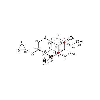 CCOC12CCC(=O)C[C@@]13CCN(CC1CC1)[C@@H]2Cc1ccc(O)cc13